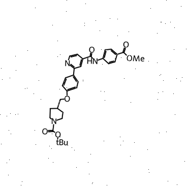 COC(=O)c1ccc(NC(=O)c2ccnc(-c3ccc(OCC4CCN(C(=O)OC(C)(C)C)CC4)cc3)c2)cc1